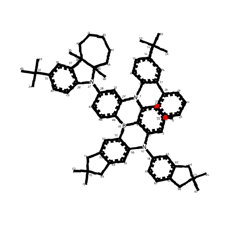 Cc1cc2c3c(c1)N(c1ccc(C(C)(C)C)cc1-c1ccccc1)c1cc(N4c5ccc(C(C)(C)C)cc5C5(C)CCCCCC45C)ccc1B3c1cc3c(cc1N2c1ccc2c(c1)CC(C)(C)C2)CC(C)(C)C3